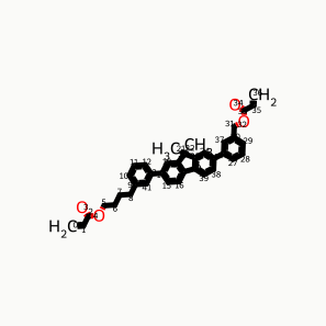 C=CC(=O)OCCCCc1cccc(-c2ccc3c(c2)C(C)(C)c2cc(-c4cccc(COC(=O)C=C)c4)ccc2-3)c1